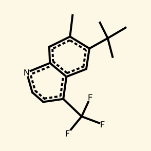 Cc1cc2nccc(C(F)(F)F)c2cc1C(C)(C)C